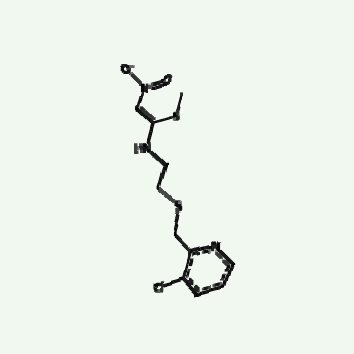 CSC(=C[N+](=O)[O-])NCCSCc1ncccc1Cl